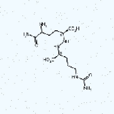 NC(=O)NCCC[C@H](NN[C@@H](CCC(N)C(N)=O)C(=O)O)C(=O)O